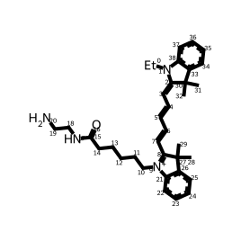 CCN1/C(=C/C=C/C=C/C2=[N+](CCCCCC(=O)NCCN)c3ccccc3C2(C)C)C(C)(C)c2ccccc21